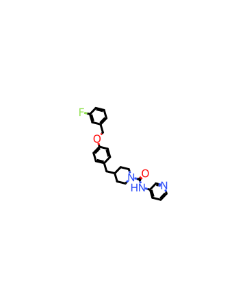 O=C(Nc1cccnc1)N1CCC(Cc2ccc(OCc3cccc(F)c3)cc2)CC1